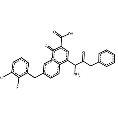 NC(C(=O)Cc1ccccc1)c1cc(C(=O)O)c(=O)n2cc(Cc3cccc(Cl)c3F)ccc12